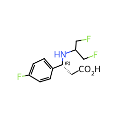 O=C(O)C[C@@H](NC(CF)CF)c1ccc(F)cc1